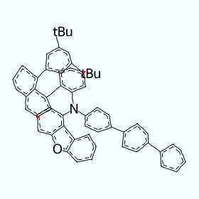 CC(C)(C)c1cc(-c2cccc3cccc(-c4ccccc4N(c4ccc(-c5ccc(-c6ccccc6)cc5)cc4)c4cccc5oc6ccccc6c45)c23)cc(C(C)(C)C)c1